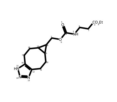 CCOC(=O)CCNC(=O)OCC1C2CCc3nn[nH]c3CCC21